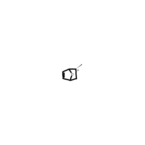 C[C@@H]1CC2C=CC1O2